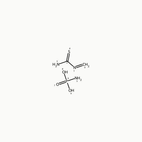 C=NC(N)=S.NP(=O)(O)O